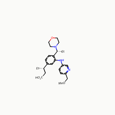 CC[C@@H](CC(=O)O)c1ccc([C@@H](CC)N2CCOCC2)c(Nc2ccc(COC)nc2)c1